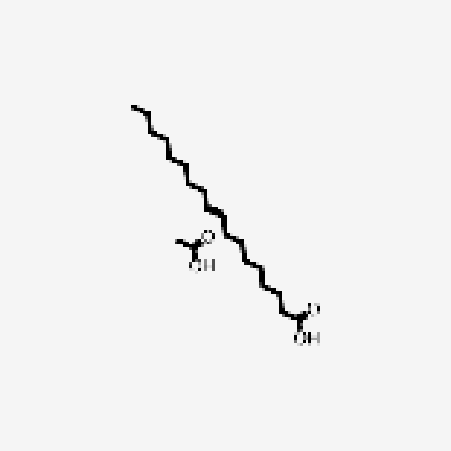 CC(=O)O.CCCCCCCCC=CCCCCCCCC(=O)O